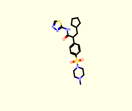 CN1CCN(S(=O)(=O)c2ccc(C(CC3CCCC3)C(=O)Nc3nncs3)cc2)CC1